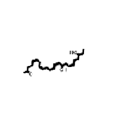 CCC(O)/C=C/C=C\CC(O)/C=C\C=C/C/C=C\C/C=C\CCC(C)=O